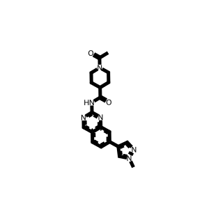 CC(=O)N1CCC(C(=O)Nc2ncc3ccc(-c4cnn(C)c4)cc3n2)CC1